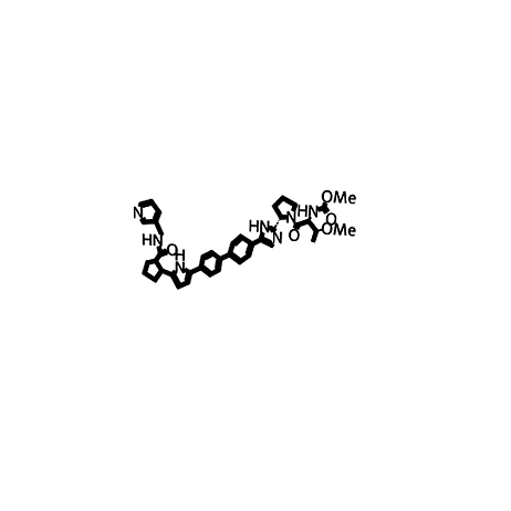 COC(=O)N[C@H](C(=O)N1CCC[C@H]1c1ncc(-c2ccc(-c3ccc(-c4ccc(C5CCCC5C(=O)NCc5cccnc5)[nH]4)cc3)cc2)[nH]1)[C@@H](C)OC